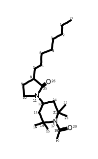 CCCCCCCCC1CCN(C2CC(C)(C)N(C(C)=O)C(C)(C)C2)C1=O